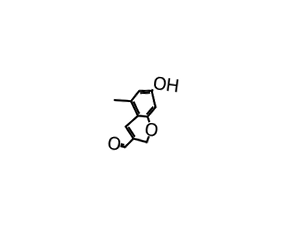 Cc1cc(O)cc2c1C=C(C=O)CO2